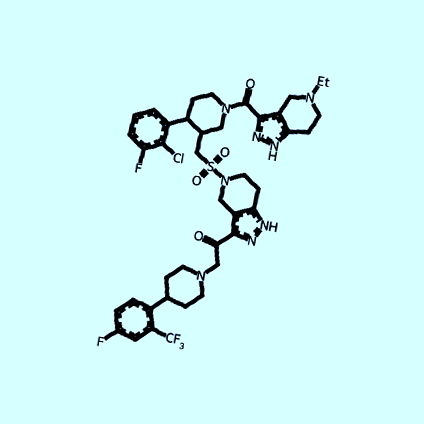 CCN1CCc2[nH]nc(C(=O)N3CCC(c4cccc(F)c4Cl)C(CS(=O)(=O)N4CCc5[nH]nc(C(=O)CN6CCC(c7ccc(F)cc7C(F)(F)F)CC6)c5C4)C3)c2C1